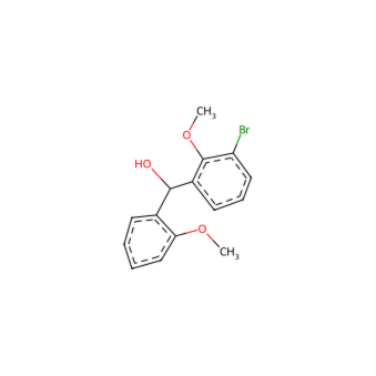 COc1ccccc1C(O)c1cccc(Br)c1OC